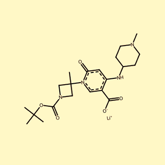 CN1CCC(Nc2cc(=O)n(C3(C)CN(C(=O)OC(C)(C)C)C3)cc2C(=O)[O-])CC1.[Li+]